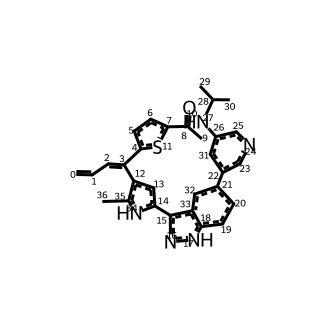 C=C/C=C(/c1ccc(C(C)=O)s1)c1cc(-c2n[nH]c3ccc(-c4cncc(NC(C)C)c4)cc23)[nH]c1C